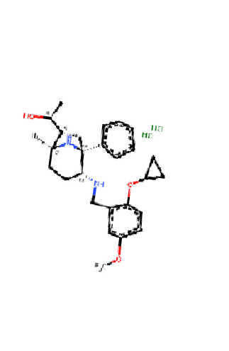 C[C@H](O)[C@@H]1C[C@]2(c3ccccc3)N[C@H]1CC[C@H]2NCc1cc(OC(F)(F)F)ccc1OC1CC1.Cl.Cl